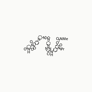 CNC(=O)COc1cc2cc(Nc3nc(N4CCC(N5CCC56CN(C5CCCN(c7ccc8c(c7)C(=O)N(C7CCC(=O)NC7=O)C8=O)C5)C6)CC4)ncc3Cl)ccc2n(C(C)C)c1=O